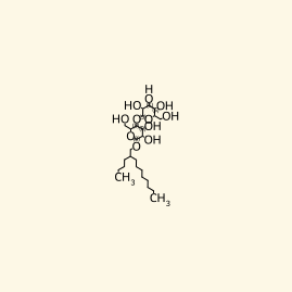 CCCCCCCCC(CCCC)CO[C@@H]1OC(CO)[C@@H](O[C@@H]2OC(CO)[C@@H](O)[C@H](O)C2O)[C@H](O)C1O